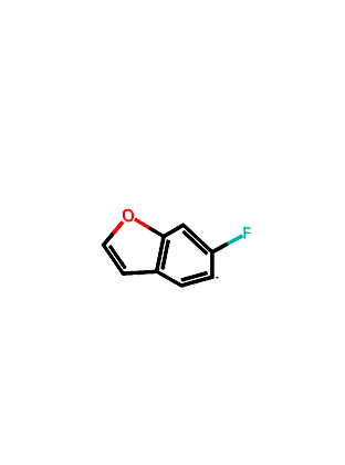 Fc1[c]cc2ccoc2c1